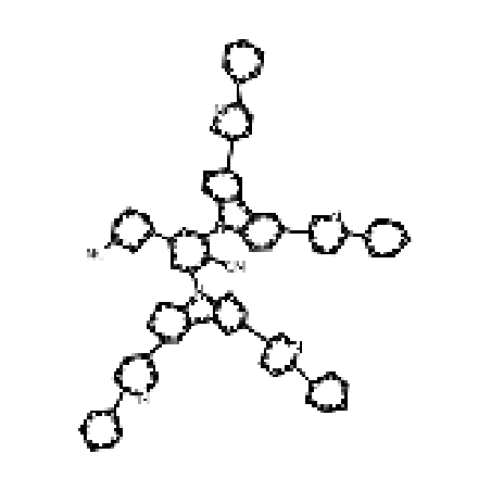 N#Cc1cccc(-c2cc(-n3c4ccc(-c5ccc(-c6ccccc6)nc5)cc4c4cc(-c5ccc(-c6ccccc6)nc5)ccc43)c(C#N)c(-n3c4ccc(-c5ccc(-c6ccccc6)nc5)cc4c4cc(-c5ccc(-c6ccccc6)nc5)ccc43)c2)c1